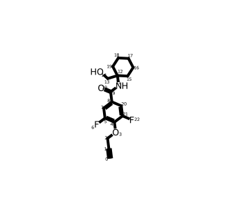 C#CCOc1c(F)cc(C(=O)NC2(CO)CCCCC2)cc1F